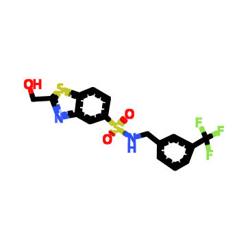 O=S(=O)(NCc1cccc(C(F)(F)F)c1)c1ccc2sc(CO)nc2c1